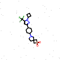 O=S1(=O)CC2(CCN(C3CCC(c4cc(C(F)(F)F)n(C5CCC5)n4)CC3)C2)C1